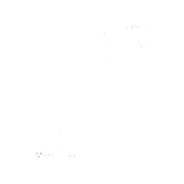 CCCCCC(O)C(O)CC=CCCCCCCCC(=O)OC